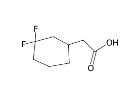 O=C(O)CC1CCCC(F)(F)C1